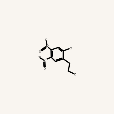 O=[N+]([O-])c1cc(Cl)c(CCCl)cc1[N+](=O)[O-]